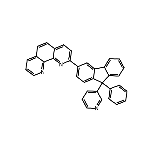 c1ccc(C2(c3cccnc3)c3ccccc3-c3cc(-c4ccc5ccc6cccnc6c5n4)ccc32)cc1